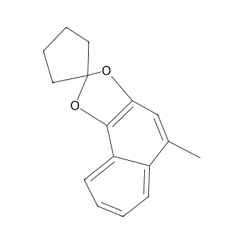 Cc1cc2c(c3ccccc13)OC1(CCCC1)O2